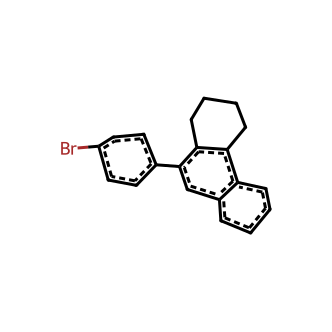 Brc1ccc(-c2cc3ccccc3c3c2CCCC3)cc1